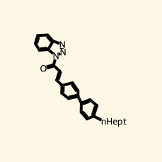 CCCCCCCc1ccc(-c2ccc(C=CC(=O)n3nnc4ccccc43)cc2)cc1